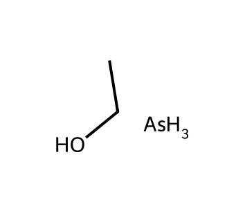 CCO.[AsH3]